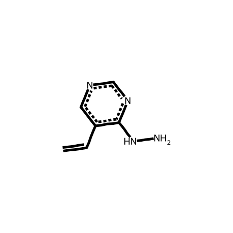 C=Cc1cncnc1NN